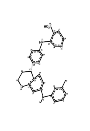 Cc1cccc(N(C)c2ccc3c(c2)OCC[C@@H]3c2ccc(Nc3cnccc3C(=O)O)cc2)n1